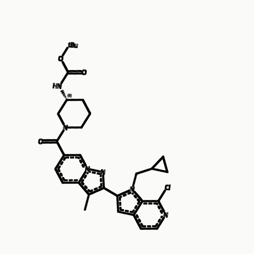 Cc1c(-c2cc3ccnc(Cl)c3n2CC2CC2)nn2cc(C(=O)N3CCC[C@@H](NC(=O)OC(C)(C)C)C3)ccc12